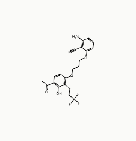 CC(=O)c1ccc(OCCCOc2cccc(N)c2C#N)c(CCC(F)(F)F)c1O